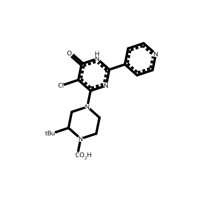 CC(C)(C)C1CN(c2nc(-c3ccncc3)[nH]c(=O)c2Cl)CCN1C(=O)O